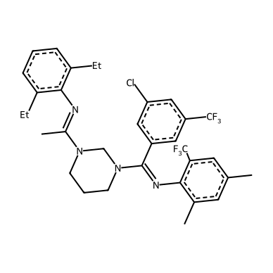 CCc1cccc(CC)c1/N=C(\C)N1CCCN(/C(=N/c2c(C)cc(C)cc2C(F)(F)F)c2cc(Cl)cc(C(F)(F)F)c2)C1